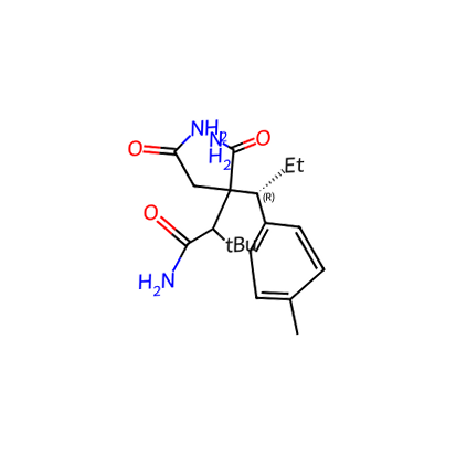 CC[C@H](c1ccc(C)cc1)C(CC(N)=O)(C(N)=O)C(C(N)=O)C(C)(C)C